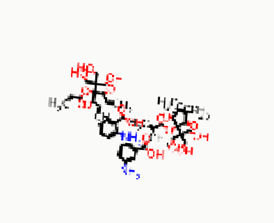 C=C(C)C(=O)OC(C(=O)C(=C)C)(C(=O)C(=C)C)C(CO)(CO)CO.C=CC(=O)OC(C(=O)C=C)(C(=O)C=C)C(CO)(CO)CO.Nc1cccc(C(=O)O)c1.Nc1ccccc1C(=O)O